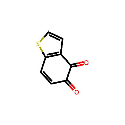 O=C1C=Cc2s[c]cc2C1=O